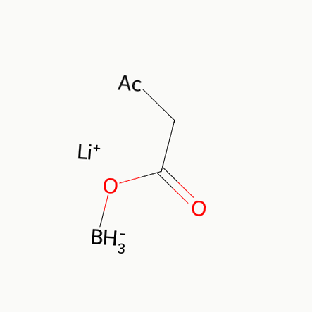 [BH3-]OC(=O)CC(C)=O.[Li+]